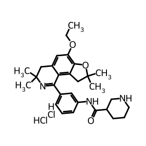 CCOc1cc2c(c3c1OC(C)(C)C3)C(c1cccc(NC(=O)C3CCCNC3)c1)=NC(C)(C)C2.Cl.Cl